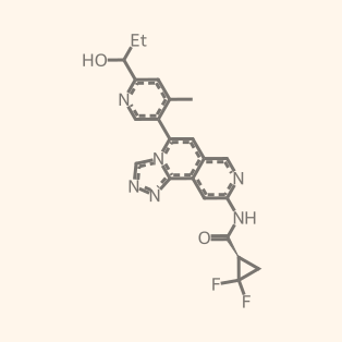 CCC(O)c1cc(C)c(-c2cc3cnc(NC(=O)[C@H]4CC4(F)F)cc3c3nncn23)cn1